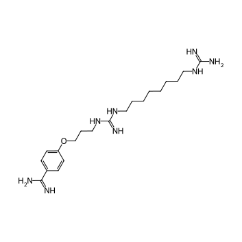 N=C(N)NCCCCCCCCNC(=N)NCCCOc1ccc(C(=N)N)cc1